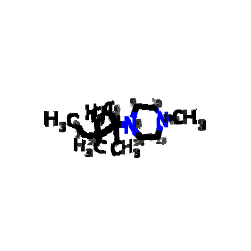 CCC(C)(C)C(C)(C)N1CCN(C)CC1